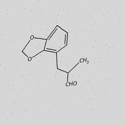 CC(C=O)Cc1cccc2c1OCO2